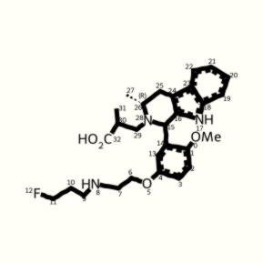 COc1ccc(OCCNCCCF)cc1C1c2[nH]c3ccccc3c2C[C@@H](C)N1CC(C)C(=O)O